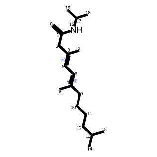 C=C(C/C(C)=C/C=C(\C)CCCCC(C)C)NC(C)C